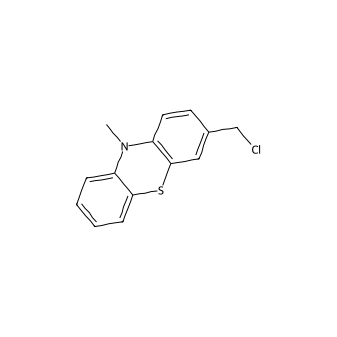 CN1c2ccccc2Sc2cc(CCl)ccc21